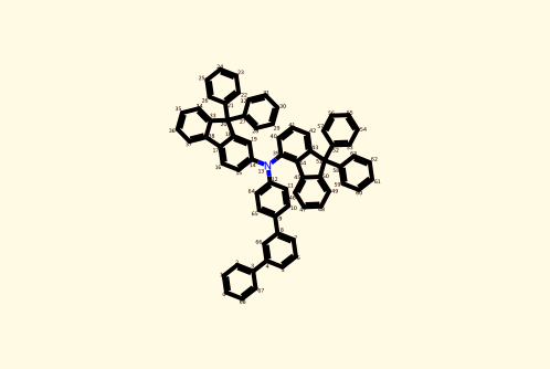 c1ccc(-c2cccc(-c3ccc(N(c4ccc5c(c4)C(c4ccccc4)(c4ccccc4)c4ccccc4-5)c4cccc5c4-c4ccccc4C5(c4ccccc4)c4ccccc4)cc3)c2)cc1